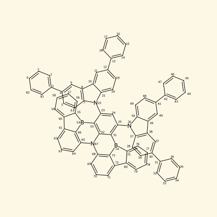 c1ccc(-c2ccc3c(c2)c2cc(-c4ccccc4)ccc2n3-c2cc(-n3c4ccc(-c5ccccc5)cc4c4cc(-c5ccccc5)ccc43)c3c4c2B2c5ccccc5-c5cccc(c52)N4c2cccc4c2B3c2ccccc2-4)cc1